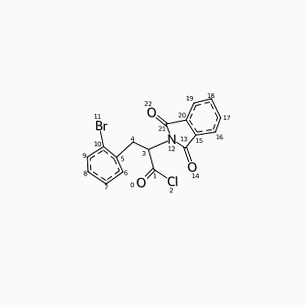 O=C(Cl)C(Cc1ccccc1Br)N1C(=O)c2ccccc2C1=O